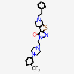 O=c1c2c3c(sc2ncn1CCN1CCN(c2cccc(C(F)(F)F)c2)CC1)CN(CCc1ccccc1)CC3